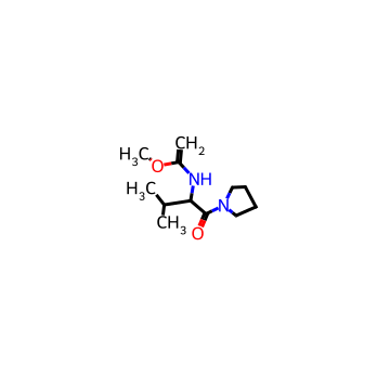 C=C(NC(C(=O)N1CCCC1)C(C)C)OC